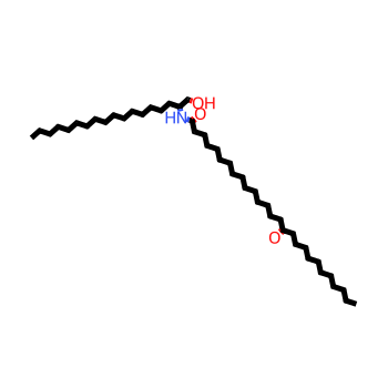 CCCCCCCCCCCCCCCCC(CO)NC(=O)CCCCCCCCCCCCCCC(=O)CCCCCCCCCCC